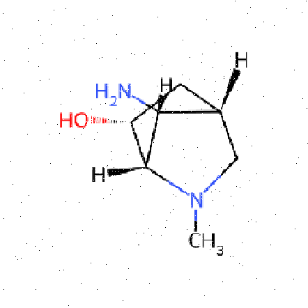 CN1C[C@H]2C[C@@H](O)[C@@H]1[C@@H]2N